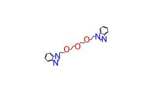 c1ccc2c(c1)ncn2CCOCCOCCOCCn1cnc2ccccc21